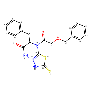 NC(=O)C(Cc1ccccc1)N(C(=O)COCc1ccccc1)c1n[nH]c(=S)s1